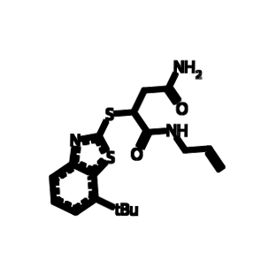 C=CCNC(=O)C(CC(N)=O)Sc1nc2cccc(C(C)(C)C)c2s1